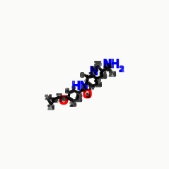 Cc1c(NC(=O)c2ccc(OCC3CC3)cc2)ccc2cc(C(C)N)cnc12